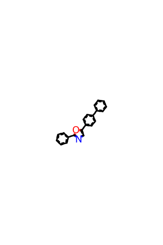 c1ccc(-c2ccc(-c3cnc(-c4ccccc4)o3)cc2)cc1